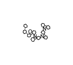 c1ccc(-c2cccc(-c3cccc4c3oc3cccc(-n5c6ccccc6c6ccc(-n7c8ccccc8c8cc(-n9c%10ccccc%10c%10ccccc%109)ccc87)cc65)c34)c2)cc1